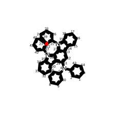 c1ccc(N(c2ccccc2)c2cc3c4ccccc4n(-c4ccccc4)c3c3c2c2ccccc2n3-c2ccccc2)cc1